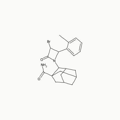 Cc1ccccc1C1C(Br)C(=O)N1C1C2CC3CC(C2)CC1(C(N)=O)C3